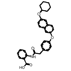 O=C(Cc1ccc(Oc2ccc3cc(OC4CCCCC4)ccc3c2)cc1)Nc1ccccc1C(=O)O